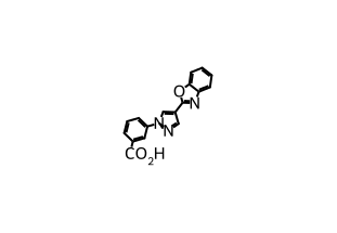 O=C(O)c1cccc(-n2cc(-c3nc4ccccc4o3)cn2)c1